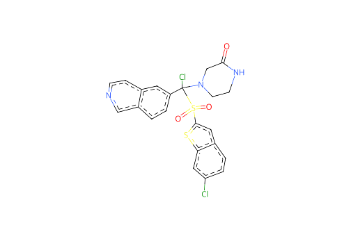 O=C1CN(C(Cl)(c2ccc3cnccc3c2)S(=O)(=O)c2cc3ccc(Cl)cc3s2)CCN1